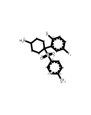 NC1CCC(c2cc(F)ccc2F)(S(=O)(=O)c2ccc(C(F)(F)F)nc2)CC1